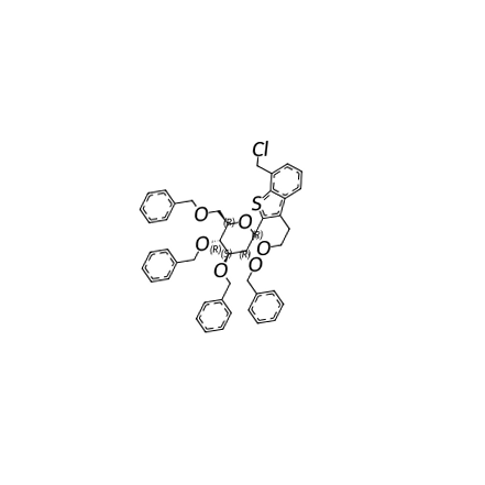 ClCc1cccc2c3c(sc12)[C@]1(OCC3)O[C@H](COCc2ccccc2)[C@@H](OCc2ccccc2)[C@H](OCc2ccccc2)[C@H]1OCc1ccccc1